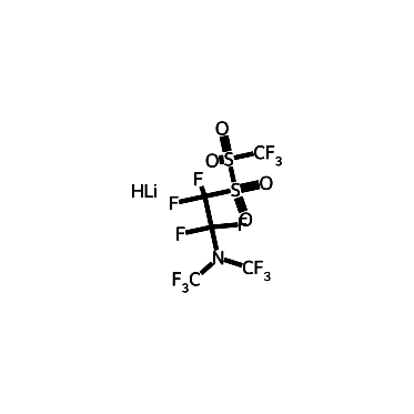 O=S(=O)(C(F)(F)F)S(=O)(=O)C(F)(F)C(F)(F)N(C(F)(F)F)C(F)(F)F.[LiH]